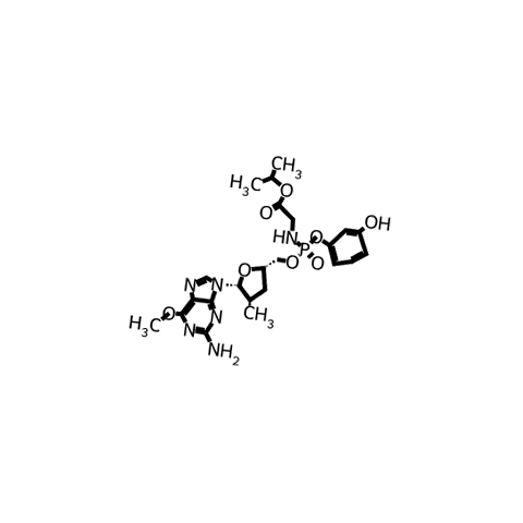 COc1nc(N)nc2c1ncn2[C@@H]1O[C@H](COP(=O)(NCC(=O)OC(C)C)Oc2cccc(O)c2)C[C@@H]1C